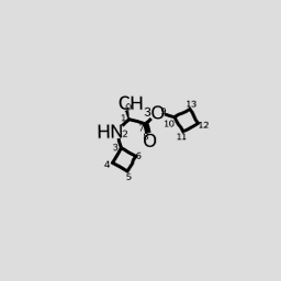 C[C@H](NC1CCC1)C(=O)OC1CCC1